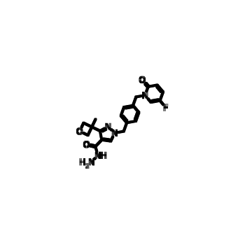 CC1(c2nn(Cc3ccc(Cn4cc(F)ccc4=O)cc3)cc2C(=O)NN)COC1